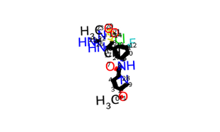 COc1ccc(C(=O)Nc2cc(F)c(Cl)c([C@]3(C)CS(=O)(=O)N(C)C(=N)N3)c2)nc1